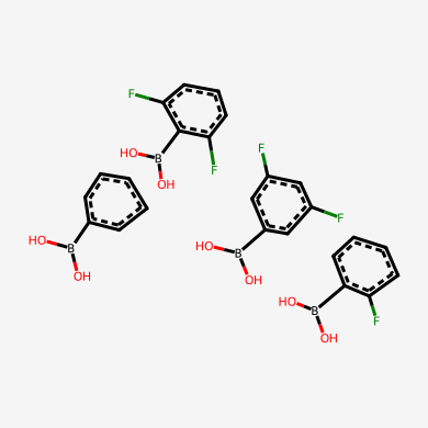 OB(O)c1c(F)cccc1F.OB(O)c1cc(F)cc(F)c1.OB(O)c1ccccc1.OB(O)c1ccccc1F